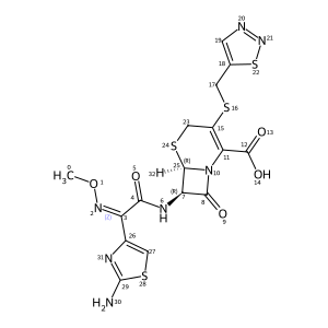 CO/N=C(\C(=O)N[C@@H]1C(=O)N2C(C(=O)O)=C(SCc3cnns3)CS[C@H]12)c1csc(N)n1